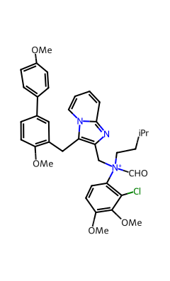 COc1ccc(-c2ccc(OC)c(Cc3c(C[N+](C=O)(CCC(C)C)c4ccc(OC)c(OC)c4Cl)nc4ccccn34)c2)cc1